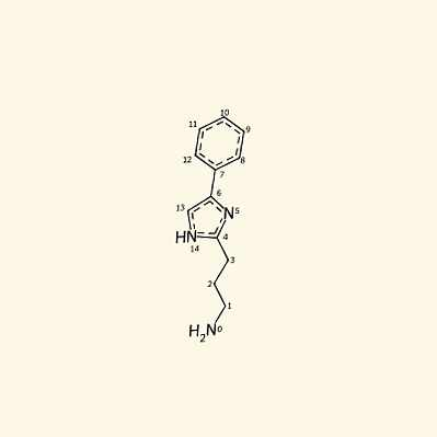 NCCCc1nc(-c2ccccc2)c[nH]1